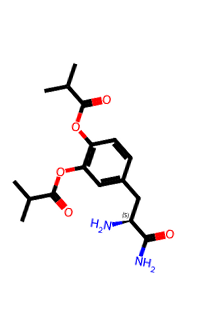 CC(C)C(=O)Oc1ccc(C[C@H](N)C(N)=O)cc1OC(=O)C(C)C